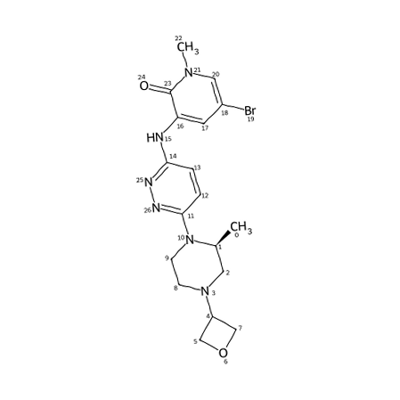 C[C@H]1CN(C2COC2)CCN1c1ccc(Nc2cc(Br)cn(C)c2=O)nn1